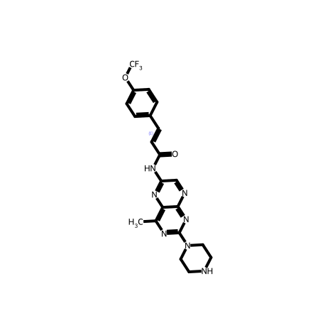 Cc1nc(N2CCNCC2)nc2ncc(NC(=O)/C=C/c3ccc(OC(F)(F)F)cc3)nc12